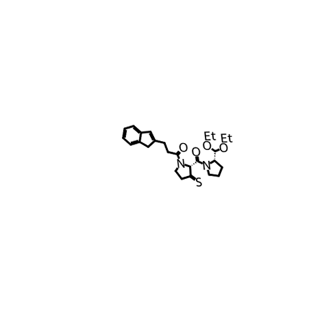 CCOC(OCC)[C@@H]1CCCN1C(=O)[C@@H]1C(=S)CCN1C(=O)CCC1=Cc2ccccc2C1